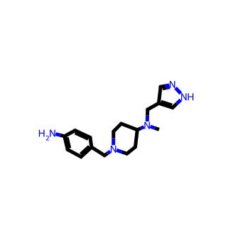 CN(Cc1cn[nH]c1)C1CCN(Cc2ccc(N)cc2)CC1